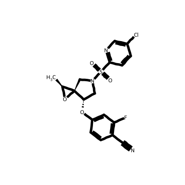 C[C@@H]1O[C@]12CN(S(=O)(=O)c1ccc(Cl)cn1)C[C@@H]2Oc1ccc(C#N)c(F)c1